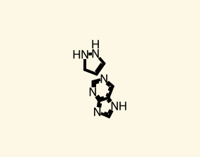 C1=CNNC1.c1ncc2[nH]cnc2n1